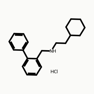 Cl.c1ccc(-c2ccccc2CNCCC2CCCCC2)cc1